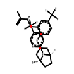 C=C(C)COc1cc(C(F)(F)F)ccc1O[C@H]1C[C@H]2CC[C@@H](C1)N2c1ccc(C(F)(F)F)cn1